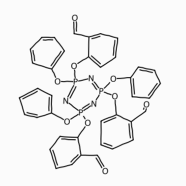 O=Cc1ccccc1OP1(Oc2ccccc2)=NP(Oc2ccccc2)(Oc2ccccc2C=O)=NP(Oc2ccccc2)(Oc2ccccc2C=O)=N1